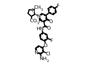 CN1CCC(C(=O)O)[C@@H]1n1cc(C(=O)Nc2ccc(Oc3ccnc(N)c3Cl)c(F)c2)c(=O)c(-c2ccc(F)cc2)c1